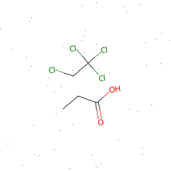 CCC(=O)O.ClCC(Cl)(Cl)Cl